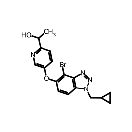 CC(O)c1ccc(Oc2ccc3c(nnn3CC3CC3)c2Br)cn1